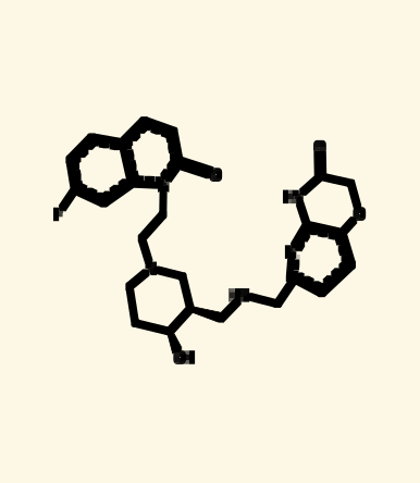 O=C1COc2ccc(CNC[C@@H]3CN(CCn4c(=O)ccc5ccc(F)cc54)CC[C@@H]3O)nc2N1